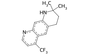 CC1(C)CCc2cc3c(C(F)(F)F)ccnc3cc2N1